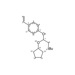 C=Cc1ccc(OC(CC(C)(C)C)OC2CCCC2)cc1